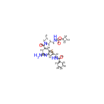 CCCN(CCCNC(=O)OC1CCC1)C(=O)C1=Cc2sc(CNC(=O)c3ccccc3)cc2N=C(N)C1